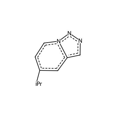 CC(C)c1ccn2nncc2c1